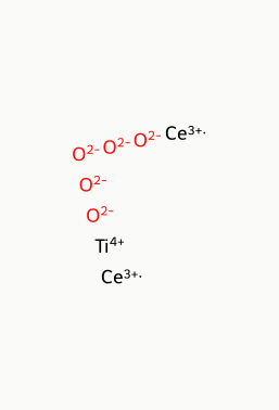 [Ce+3].[Ce+3].[O-2].[O-2].[O-2].[O-2].[O-2].[Ti+4]